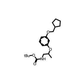 CC(CNC(=O)OC(C)(C)C)Oc1cccc(OCC2CCCC2)c1